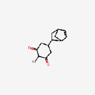 CC(=O)C1C(=O)CC(C2CC3C=CC2C3)CC1=O